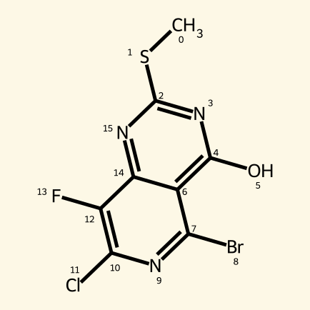 CSc1nc(O)c2c(Br)nc(Cl)c(F)c2n1